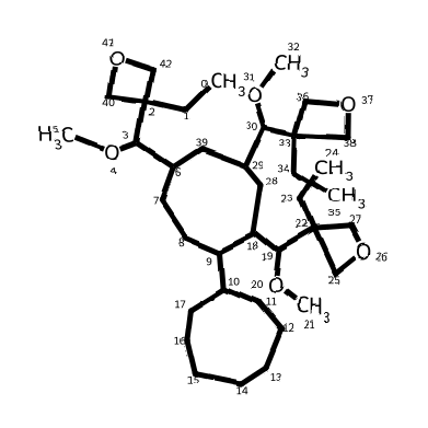 CCC1(C(OC)C2CCC(C3CCCCCCC3)C(C(OC)C3(CC)COC3)CC(C(OC)C3(CC)COC3)C2)COC1